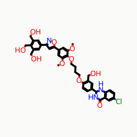 COc1cc(-c2cc(-c3cc(CO)c(CO)c(CO)c3)no2)cc(OC)c1OCCCCOc1ccc(C2NC(=O)c3cc(Cl)ccc3N2)cc1CO